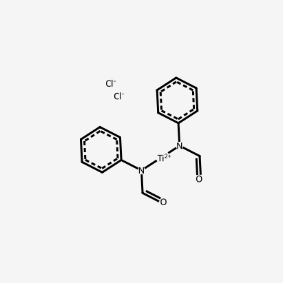 O=C[N]([Ti+2][N](C=O)c1ccccc1)c1ccccc1.[Cl-].[Cl-]